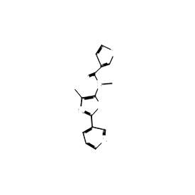 Cc1nc(-c2cccnc2)sc1N(C)C(=O)c1ccoc1